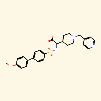 COc1ccc(-c2ccc(S(=O)(=O)NC(C(=O)O)C3CCN(Cc4ccncc4)CC3)cc2)cc1